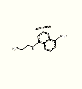 N=C=S.NCCNc1cccc2c(S(=O)(=O)O)cccc12